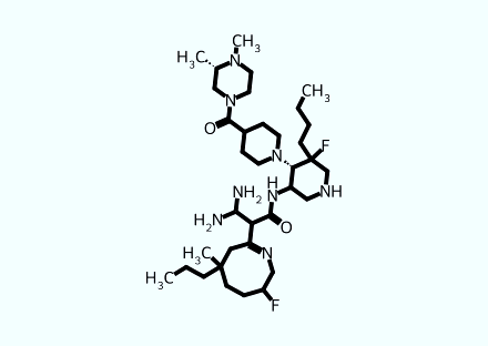 CCCCC1(F)CNCC(NC(=O)C(/C2=N/CC(F)CCC(C)(CCC)C2)C(N)N)[C@@H]1N1CCC(C(=O)N2CCN(C)[C@@H](C)C2)CC1